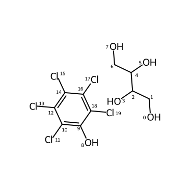 OCC(O)C(O)CO.Oc1c(Cl)c(Cl)c(Cl)c(Cl)c1Cl